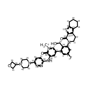 Cn1cc(-c2cc(F)cc(N3CCc4c(sc5c4CCCC5)C3=O)c2CO)cc(Nc2ccc(N3CCN(C4COC4)CC3)nn2)c1=O